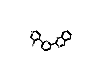 Fc1cnccc1-c1cccc(-c2ncc3ccccc3n2)n1